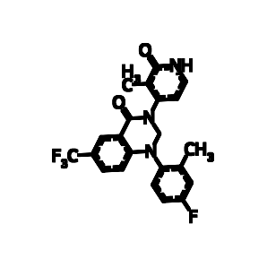 Cc1cc(F)ccc1N1CN(c2cc[nH]c(=O)c2C)C(=O)c2cc(C(F)(F)F)ccc21